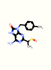 Cc1ccc(Cn2c(=O)[nH]c3c(N)nc(C(C)[S+]=O)nc32)cc1